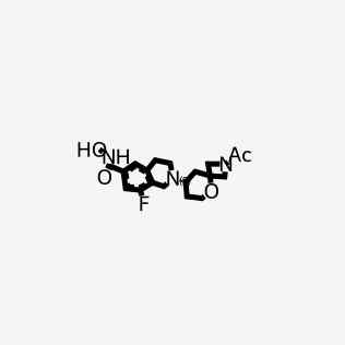 CC(=O)N1CC2(C[C@@H](N3CCc4cc(C(=O)NO)cc(F)c4C3)CCO2)C1